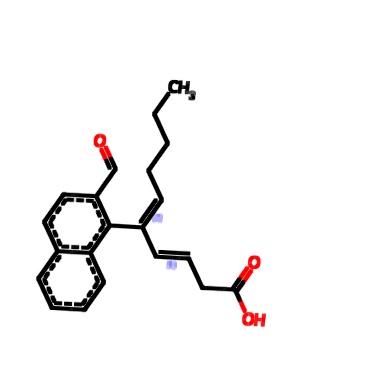 CCCC/C=C(/C=C/CC(=O)O)c1c(C=O)ccc2ccccc12